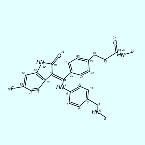 CNCc1ccc(NC(=C2C(=O)Nc3cc(F)ccc32)c2ccc(CCC(=O)NC)cc2)cc1